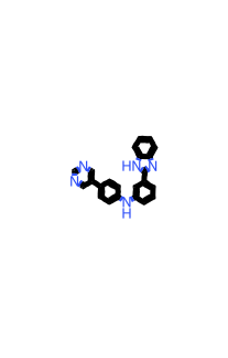 c1cc(Nc2ccc(-c3cncnc3)cc2)cc(-c2nc3ccccc3[nH]2)c1